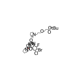 CC(C)(C)OC(=O)CCOCCCN1CCC[C@H]1COc1nc(N2CC3CCC(C2)N3C(=O)OC(C)(C)C)c2cc(Cl)c(Br)c(F)c2n1